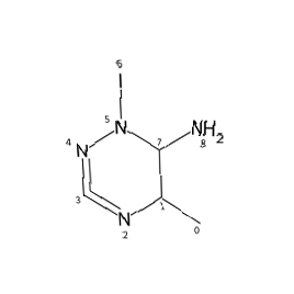 CC1N=C=NN(I)C1N